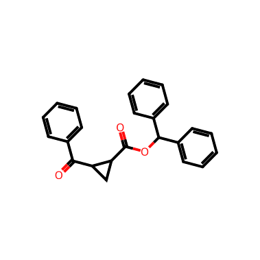 O=C(OC(c1ccccc1)c1ccccc1)C1CC1C(=O)c1ccccc1